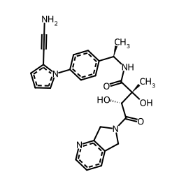 C[C@@H](NC(=O)[C@](C)(O)[C@@H](O)C(=O)N1Cc2cccnc2C1)c1ccc(-n2cccc2C#CN)cc1